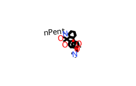 CCCCCN1C(=O)C2(COc3cc4c(cc32)OCO4)c2c(-c3ccc(CN(C)C)cc3)cccc21